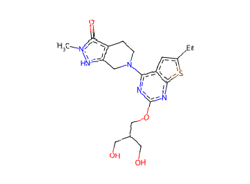 CCc1cc2c(N3CCc4c([nH]n(C)c4=O)C3)nc(OCC(CO)CO)nc2s1